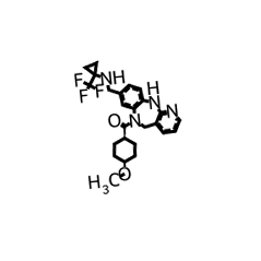 CO[C@H]1CC[C@@H](C(=O)N2Cc3cccnc3Nc3ccc(CNC4(C(F)(F)F)CC4)cc32)CC1